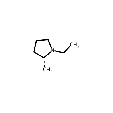 CCN1CCC[C@H]1C